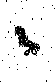 CC(=O)c1c(C)c2cnc(Nc3cnc(N4CCN5CCC[C@@H]5C4)cn3)cc2n(C2CCCC2)c1=O